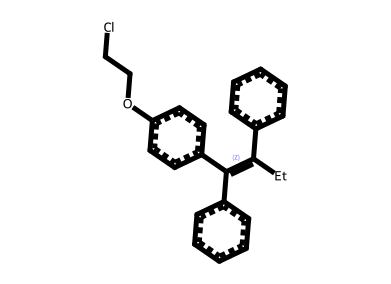 CC/C(=C(\c1ccccc1)c1ccc(OCCCl)cc1)c1ccccc1